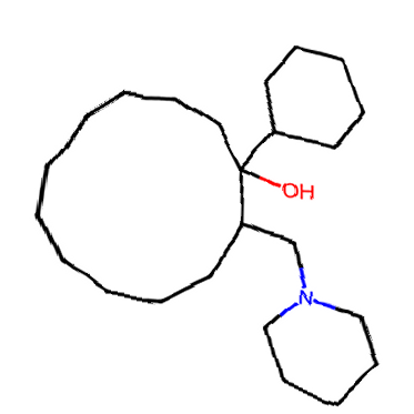 OC1(C2CCCCC2)CCCCCCCCCCC1CN1CCCCC1